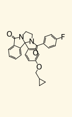 O=C(c1ccc(F)cc1)N1CCN2C(=O)c3ccccc3C12c1ccc(OCC2CC2)cc1